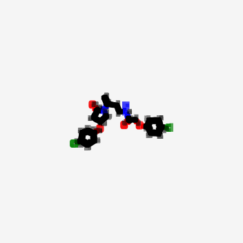 C=C(CCNC(=O)COc1ccc(Cl)cc1)N1C[C@H](Oc2ccc(Cl)cc2)CC1=O